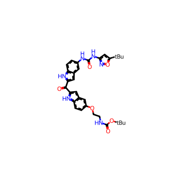 CC(C)(C)OC(=O)NCCOc1ccc2[nH]c(C(=O)c3cc4cc(NC(=O)Nc5cc(C(C)(C)C)on5)ccc4[nH]3)cc2c1